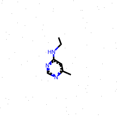 CCNc1cc(C)ncn1